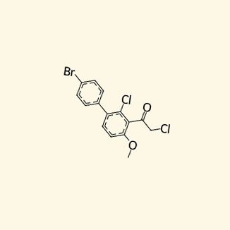 COc1ccc(-c2ccc(Br)cc2)c(Cl)c1C(=O)CCl